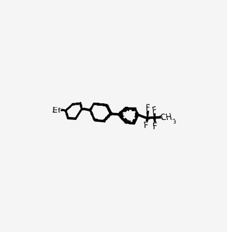 CCC1CCC(C2CCC(c3ccc(C(F)(F)C(C)(F)F)cc3)CC2)CC1